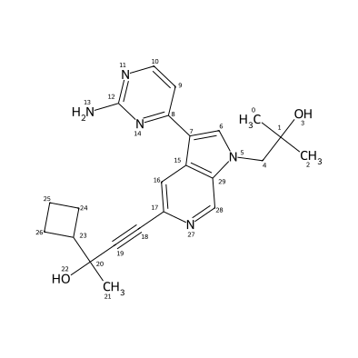 CC(C)(O)Cn1cc(-c2ccnc(N)n2)c2cc(C#CC(C)(O)C3CCC3)ncc21